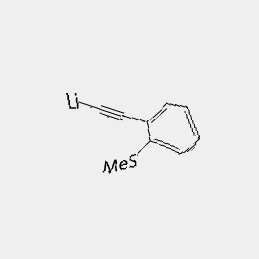 [Li][C]#Cc1ccccc1SC